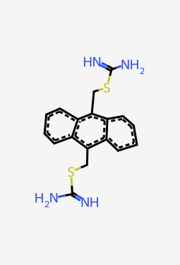 N=C(N)SCc1c2ccccc2c(CSC(=N)N)c2ccccc12